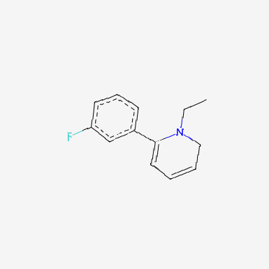 CCN1CC=CC=C1c1cccc(F)c1